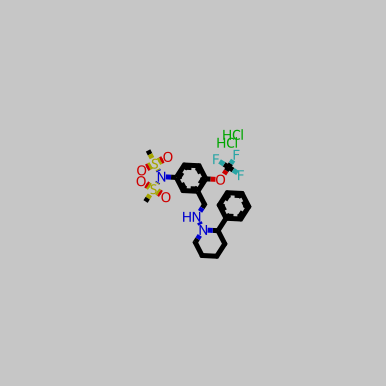 CS(=O)(=O)N(c1ccc(OC(F)(F)F)c(CNN2CCCCC2c2ccccc2)c1)S(C)(=O)=O.Cl.Cl